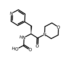 O=C(O)N[C@@H](Cc1ccncc1)C(=O)N1CCOCC1